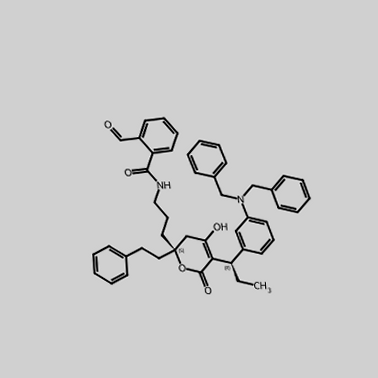 CC[C@@H](C1=C(O)C[C@@](CCCNC(=O)c2ccccc2C=O)(CCc2ccccc2)OC1=O)c1cccc(N(Cc2ccccc2)Cc2ccccc2)c1